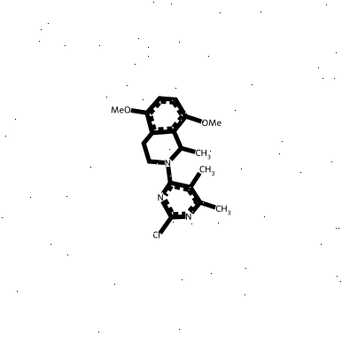 COc1ccc(OC)c2c1CCN(c1nc(Cl)nc(C)c1C)C2C